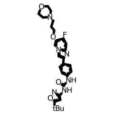 CC(C)(C)c1cc(NC(=O)Nc2ccc(-c3cn4cc(OCCCN5CCOCC5)c(F)cc4n3)cc2)no1